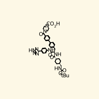 CC(C)(C)OC(=O)NC[C@H]1CC[C@H](C(=O)N[C@@H](Cc2ccc(-c3ccc(C(=O)N4CCN(C(=O)O)CC4)cc3)cc2)C(=O)Nc2ccc(-c3nn[nH]n3)cc2)CC1